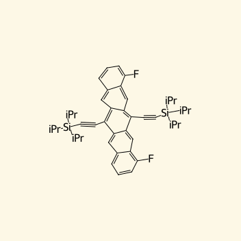 CC(C)[Si](C#Cc1c2cc3cccc(F)c3cc2c(C#C[Si](C(C)C)(C(C)C)C(C)C)c2cc3c(F)cccc3cc12)(C(C)C)C(C)C